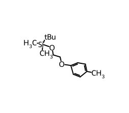 Cc1ccc(OCCO[Si](C)(C)C(C)(C)C)cc1